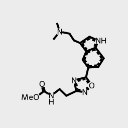 COC(=O)NCCc1noc(-c2ccc3[nH]cc(CCN(C)C)c3c2)n1